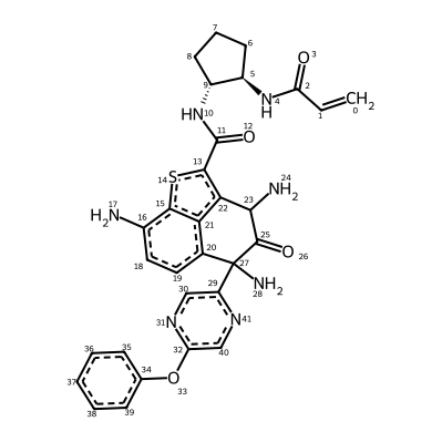 C=CC(=O)N[C@@H]1CCC[C@H]1NC(=O)c1sc2c(N)ccc3c2c1C(N)C(=O)C3(N)c1cnc(Oc2ccccc2)cn1